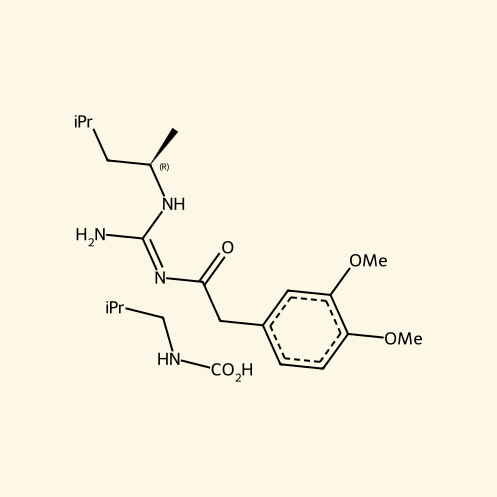 CC(C)CNC(=O)O.COc1ccc(CC(=O)N=C(N)N[C@H](C)CC(C)C)cc1OC